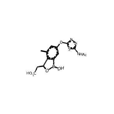 CC(=O)Nc1nnc(Oc2cc(C)c3c(c2)B(O)OC3CC(=O)O)s1